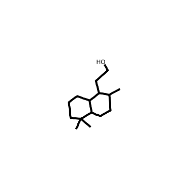 CC1CCC2C(CCCC2(C)C)C1CCO